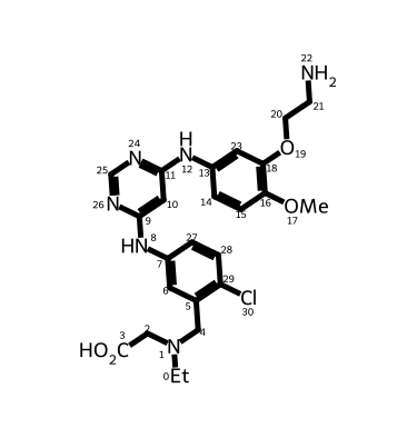 CCN(CC(=O)O)Cc1cc(Nc2cc(Nc3ccc(OC)c(OCCN)c3)ncn2)ccc1Cl